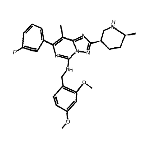 COc1ccc(CNc2nc(-c3cccc(F)c3)c(C)c3nc([C@@H]4CC[C@H](C)NC4)nn23)c(OC)c1